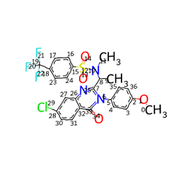 COc1ccc(-n2c(C(C)N(C)S(=O)(=O)c3ccc(C(F)(F)F)cc3)nc3cc(Cl)ccc3c2=O)cc1